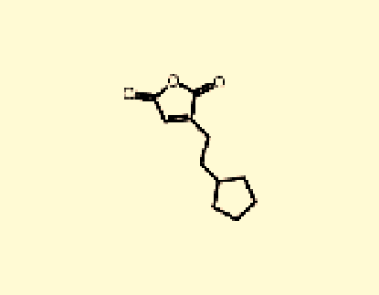 O=C1C=C(CCC2CCCC2)C(=O)O1